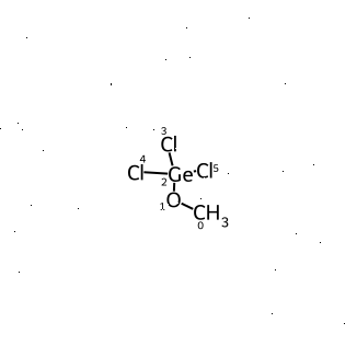 C[O][Ge]([Cl])([Cl])[Cl]